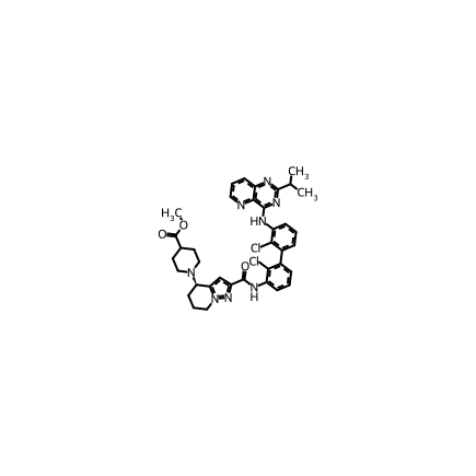 COC(=O)C1CCN([C@@H]2CCCn3nc(C(=O)Nc4cccc(-c5cccc(Nc6nc(C(C)C)nc7cccnc67)c5Cl)c4Cl)cc32)CC1